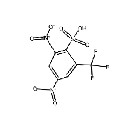 O=[N+]([O-])c1cc([N+](=O)[O-])c(S(=O)(=O)O)c(C(F)(F)F)c1